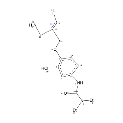 CCN(CC)C(=O)Nc1ccc(OC/C(=C/F)CN)cc1.Cl